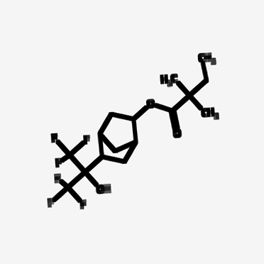 CCC(C)(C)C(=O)OC1CC2CC1CC2C(O)(C(F)(F)F)C(F)(F)F